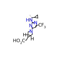 C[C@@H](Nc1nc(N2C[C@@H]3C(CC(=O)O)[C@@H]3C2)cc(C(F)(F)F)n1)C1CC1